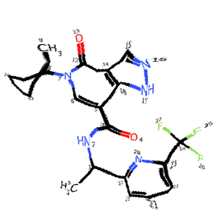 CC(NC(=O)c1cn(C2(C)CC2)c(=O)c2cn[nH]c12)c1cccc(C(F)(F)F)n1